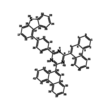 c1ccc2c(c1)cc(-c1nc(-c3ccc(-c4cccc5sc6ccccc6c45)cc3)nc(-c3cc4ccccc4c4ccccc34)n1)c1ccccc12